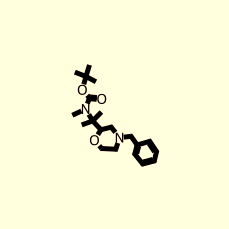 CN(C(=O)OC(C)(C)C)C(C)(C)C1CN(Cc2ccccc2)CCO1